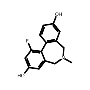 CN1Cc2cc(O)ccc2-c2c(F)cc(O)cc2C1